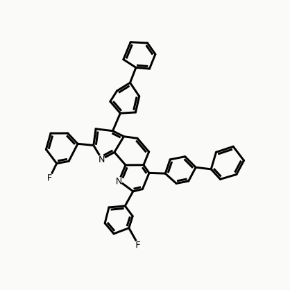 Fc1cccc(-c2cc(-c3ccc(-c4ccccc4)cc3)c3ccc4c(-c5ccc(-c6ccccc6)cc5)cc(-c5cccc(F)c5)nc4c3n2)c1